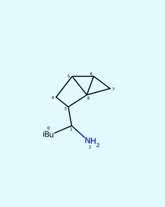 CCC(C)C(N)C1CC2C3CC123